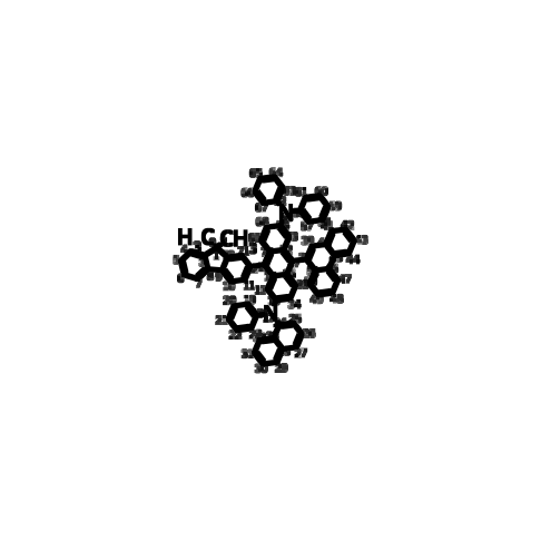 CC1(C)c2ccccc2-c2ccc(-c3c4cc(N(c5ccccc5)c5cccc6ccccc56)ccc4c(-c4cc5ccccc5c5ccccc45)c4cc(N(c5ccccc5)c5ccccc5)ccc34)cc21